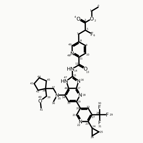 CCOC(=O)C(F)Cc1ccc(C(=O)Nc2nc3nc(-c4cnc(C5CC5)c(C(F)(F)F)c4)cc(N(C)CC4(COC)CCCC4)c3[nH]2)nc1